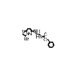 O=C(NCCNc1ccc2ncc(Br)n2n1)OCc1ccccc1